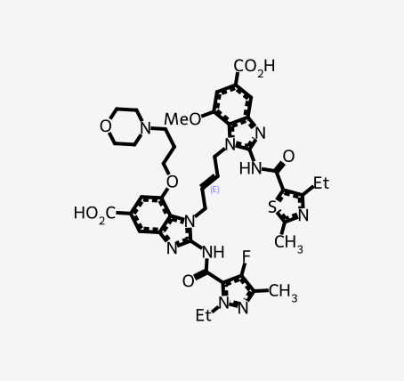 CCc1nc(C)sc1C(=O)Nc1nc2cc(C(=O)O)cc(OC)c2n1C/C=C/Cn1c(NC(=O)c2c(F)c(C)nn2CC)nc2cc(C(=O)O)cc(OCCCN3CCOCC3)c21